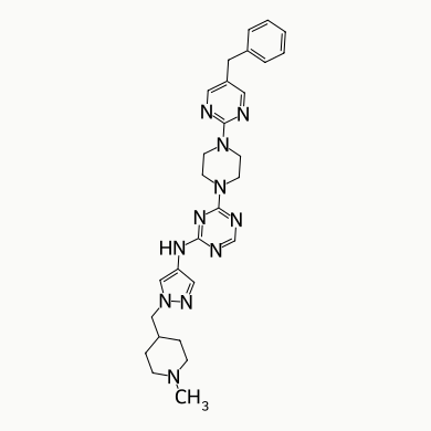 CN1CCC(Cn2cc(Nc3ncnc(N4CCN(c5ncc(Cc6ccccc6)cn5)CC4)n3)cn2)CC1